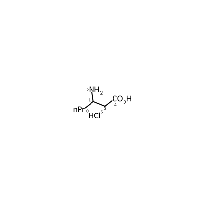 CCCC(N)CC(=O)O.Cl